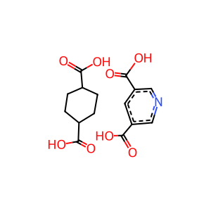 O=C(O)C1CCC(C(=O)O)CC1.O=C(O)c1cncc(C(=O)O)c1